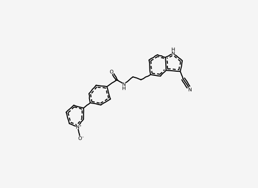 N#Cc1c[nH]c2ccc(CCNC(=O)c3ccc(-c4ccc[n+]([O-])c4)cc3)cc12